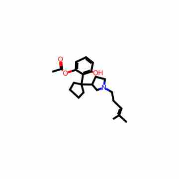 CC(=O)Oc1cccc(O)c1C1(C2CCN(CCC=C(C)C)C2)CCCC1